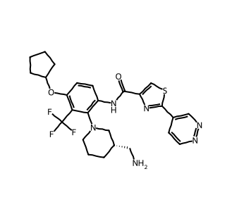 NC[C@@H]1CCCN(c2c(NC(=O)c3csc(-c4ccnnc4)n3)ccc(OC3CCCC3)c2C(F)(F)F)C1